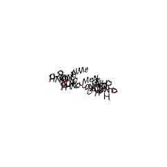 CN[C@@H](C)C(=O)N[C@H]1CN(C(=O)Nc2ccc(CCc3ccc(NC(=O)N4CC[C@H]5CC[C@@H](C(=O)NC(c6ccccc6)c6ccccc6)N5C(=O)[C@@H](NC(=O)[C@H](C)NC)C4)cc3)cc2)CC[C@H]2CCC(C(=O)NC(c3ccccc3)c3ccccc3)N2C1=O